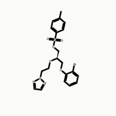 Cc1ccc(S(=O)(=O)OC[C@@H](COc2ccccc2Br)OCCn2nccn2)cc1